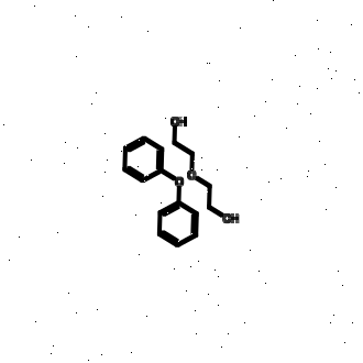 OCCOCCO.c1ccc(Oc2ccccc2)cc1